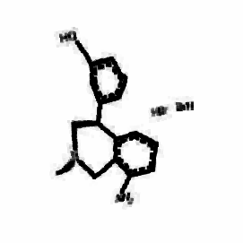 Br.Br.CN1Cc2c(N)cccc2C(c2cccc(O)c2)C1